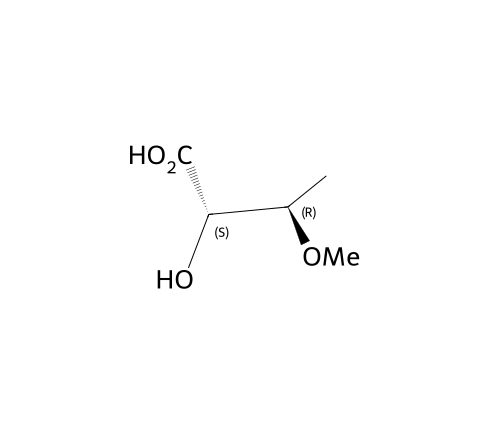 CO[C@H](C)[C@H](O)C(=O)O